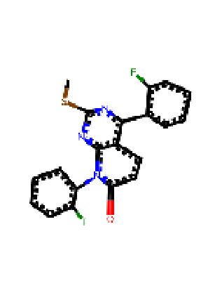 CSc1nc(-c2ccccc2F)c2ccc(=O)n(-c3ccccc3F)c2n1